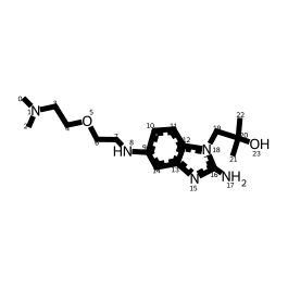 CN(C)CCOCCNc1ccc2c(c1)nc(N)n2CC(C)(C)O